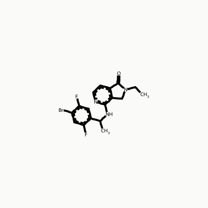 CCN1Cc2c(ccnc2NC(C)c2cc(F)c(Br)cc2F)C1=O